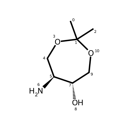 CC1(C)OC[C@H](N)[C@@H](O)CO1